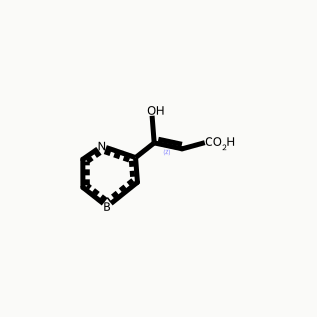 O=C(O)/C=C(\O)c1cbccn1